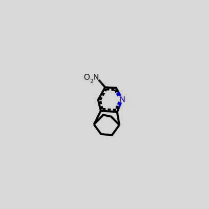 O=[N+]([O-])c1cnc2c(c1)C1CCC2CC1